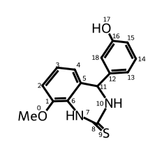 COc1cccc2c1NC(=S)NC2c1cccc(O)c1